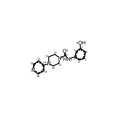 O=C(Nc1cccc(O)c1)N1CCN(c2ccncc2)CC1